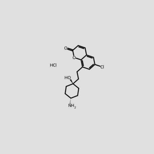 Cl.N[C@H]1CC[C@@](O)(CCc2cc(Cl)cc3ccc(=O)oc23)CC1